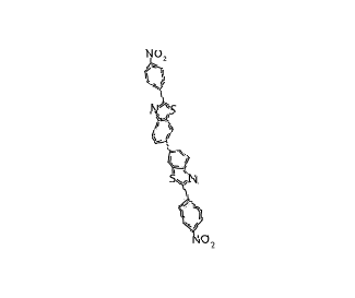 O=[N+]([O-])c1ccc(-c2nc3ccc(-c4ccc5nc(-c6ccc([N+](=O)[O-])cc6)sc5c4)cc3s2)cc1